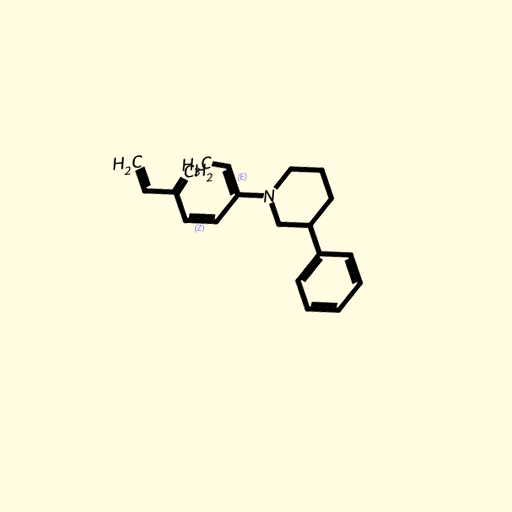 C=CC(=C)/C=C\C(=C/C)N1CCCC(c2ccccc2)C1